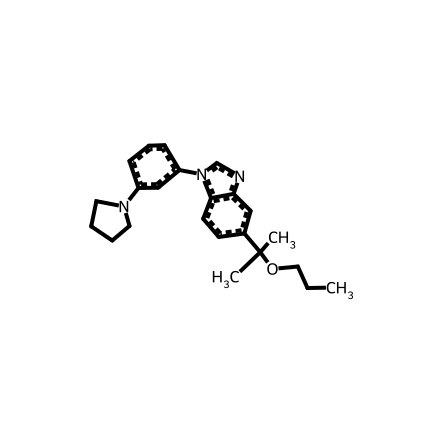 CCCOC(C)(C)c1ccc2c(c1)ncn2-c1cccc(N2CCCC2)c1